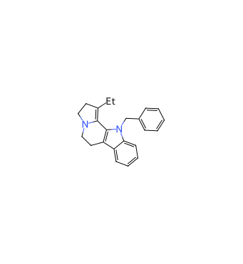 CCC1=C2c3c(c4ccccc4n3Cc3ccccc3)CCN2CC1